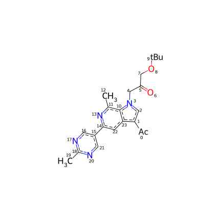 CC(=O)c1cn(CC(=O)COC(C)(C)C)c2c(C)nc(-c3cnc(C)nc3)cc12